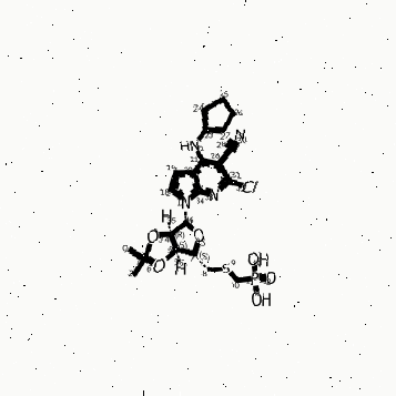 CC1(C)O[C@@H]2[C@H](O1)[C@@H](CSCP(=O)(O)O)O[C@H]2n1ccc2c(NC3CCCC3)c(C#N)c(Cl)nc21